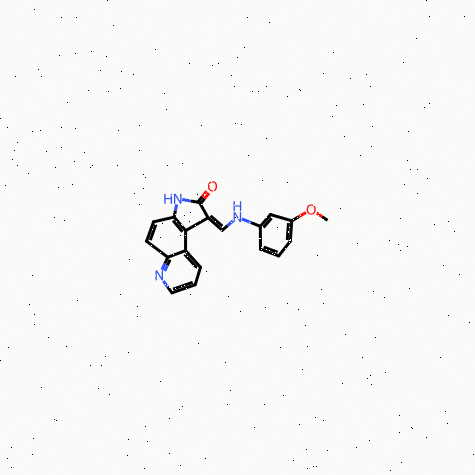 COc1cccc(NC=C2C(=O)Nc3ccc4ncccc4c32)c1